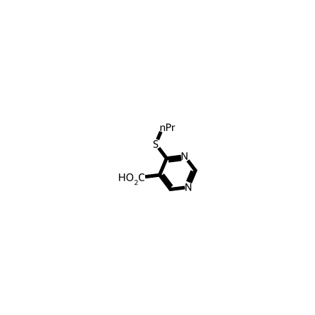 CCCSc1ncncc1C(=O)O